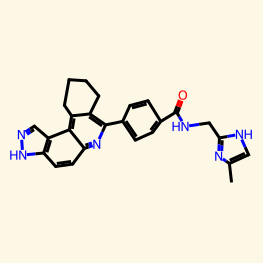 Cc1c[nH]c(CNC(=O)c2ccc(-c3nc4ccc5[nH]ncc5c4c4c3CCCC4)cc2)n1